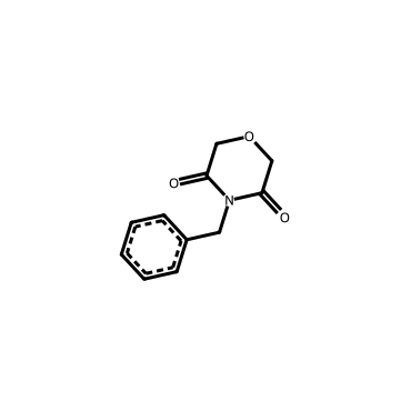 O=C1COCC(=O)N1Cc1ccccc1